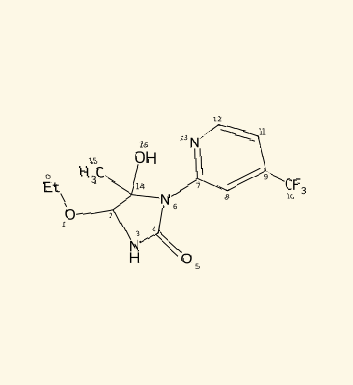 CCOC1NC(=O)N(c2cc(C(F)(F)F)ccn2)C1(C)O